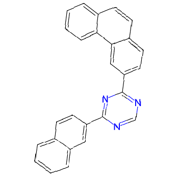 c1ccc2cc(-c3ncnc(-c4ccc5ccc6ccccc6c5c4)n3)ccc2c1